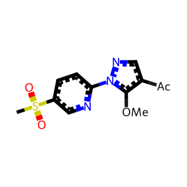 COc1c(C(C)=O)cnn1-c1ccc(S(C)(=O)=O)cn1